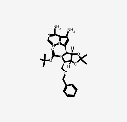 CC(C)(C)OC(=O)N1[C@H](COCc2ccccc2)[C@H]2OC(C)(C)O[C@H]2[C@@H]1c1cc(N)c2c(N)ncnn12